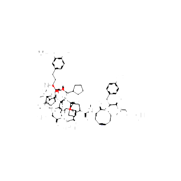 CCC[C@@H](C(=O)N[C@H](C(=O)N1CCC[C@H]1C(=O)N(C)[C@H]1C/C=C\CCN([C@@H](Cc2ccc(C(F)(F)F)cc2)C(=O)N(C)CC(=O)O)C1=O)[C@@H](C)CC)N(C)C(=O)C[C@@H](C(=O)N(C)C)N(C)C(=O)[C@H](C1CCCC1)N(C)C(=O)C1(N(C)C(=O)[C@@H]2C[C@@H](OCC)CN2C(=O)[C@@H](N)CCc2ccc(C(F)(F)F)c(OC)c2)CCC1